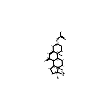 CC(=O)O[C@H]1CC[C@@]2(C)C(=CC(=O)C3C2CC[C@@]2(C)C3CC[C@]2(C)O)C1